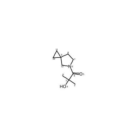 CC(C)(O)C(=O)N1CCC2(CC2)C1